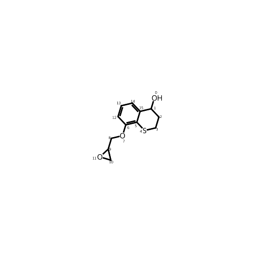 OC1CCSc2c(OCC3CO3)cccc21